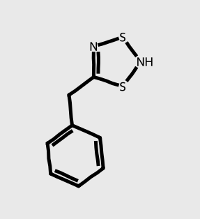 c1ccc(CC2=NSNS2)cc1